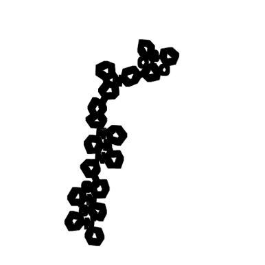 O=[P@@]12c3ccccc3Oc3ccc(-c4ccc(-n5c6ccccc6c6cc(-c7ccc8ccc(N9c%10ccccc%10B%10c%11ccccc%11N(c%11cccc(-c%12cccc%13c%12Oc%12cccc%14c%12N%13c%12cccc%13c%12B%14c%12ccccc%12N%13c%12ccccc%12)c%11)c%11cccc9c%11%10)cc8c7)ccc65)cc4)c(c31)Oc1ccccc12